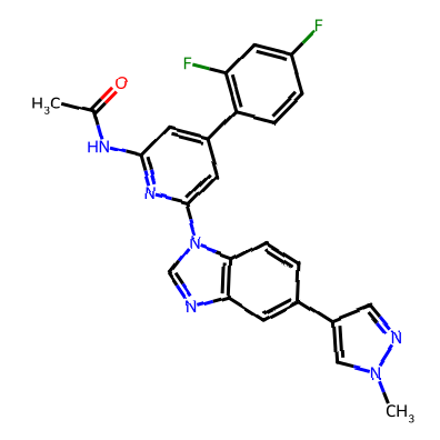 CC(=O)Nc1cc(-c2ccc(F)cc2F)cc(-n2cnc3cc(-c4cnn(C)c4)ccc32)n1